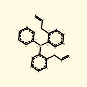 C=CCc1ccccc1N(c1ccccc1)c1ccccc1CC=C